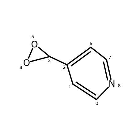 c1cc(C2OO2)ccn1